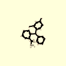 Cc1ccc(C(c2ccccc2)c2ccccc2C(N)=O)c(C)c1